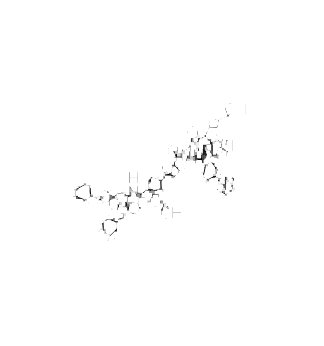 CCCCCC(C(=O)NCNC(=O)c1ccc(-c2ccc(C(=O)NC(CC(=O)OCc3ccccc3)C(=O)OCc3ccccc3)c(OCC)c2)o1)C(CC)N(C=O)OC(=O)c1ccc(-n2cccn2)cc1